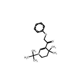 CC1(C)CCN(C(C)(C)C)C=C1C(=O)COc1ccccc1